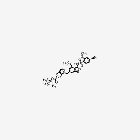 COc1cc(C#N)ccc1S(=O)(=O)Nc1noc2cc(Cn3ncc4c3CN(C(=O)OC(C)(C)C)C4)cc(OC)c12